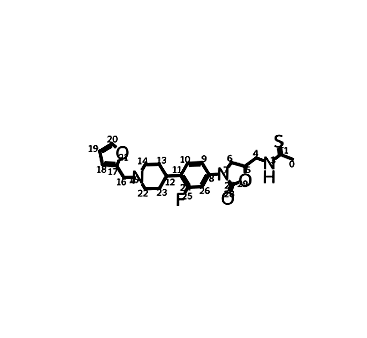 CC(=S)NCC1CN(c2ccc(C3CCN(Cc4ccco4)CC3)c(F)c2)C(=O)O1